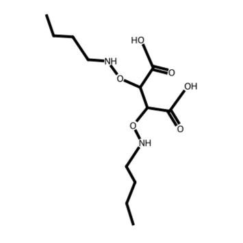 CCCCNOC(C(=O)O)C(ONCCCC)C(=O)O